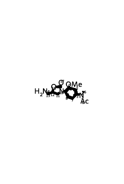 COc1cc(N(C)C(C)=O)ccc1N1CC(CN)OC1=O